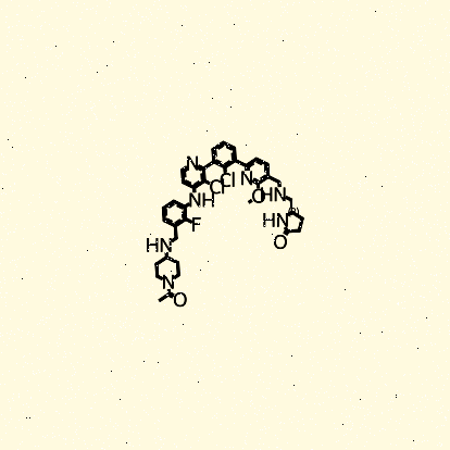 COc1nc(-c2cccc(-c3nccc(Nc4cccc(CNC5CCN(C(C)=O)CC5)c4F)c3Cl)c2Cl)ccc1CNC[C@H]1CCC(=O)N1